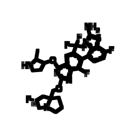 CC1NCCC1Oc1nc(OCC23CCCN2C[C@H](F)C3)nc2c(F)c(-c3ccc(F)c4sc(N)nc34)c(C(F)(F)F)cc12